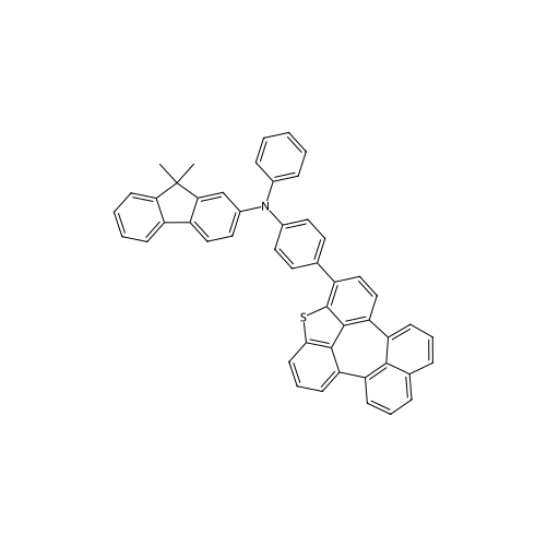 CC1(C)c2ccccc2-c2ccc(N(c3ccccc3)c3ccc(-c4ccc5c6c4sc4cccc(c46)-c4cccc6cccc-5c46)cc3)cc21